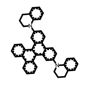 c1ccc2c(c1)CCCN2c1ccc2c3ccc(N4CCCc5ccccc54)cc3c3c4ccccc4c4ccccc4c3c2c1